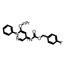 CCCOc1c/c(=N\C(=O)OCc2ccc(F)cc2)cnn1-c1ccccc1